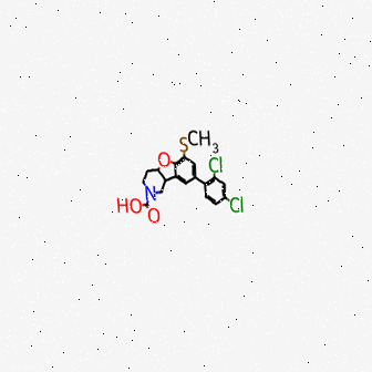 CSc1cc(-c2ccc(Cl)cc2Cl)cc2c1OC1CCN(C(=O)O)CC21